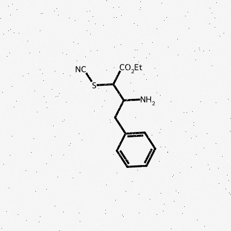 CCOC(=O)C(SC#N)C(N)Cc1ccccc1